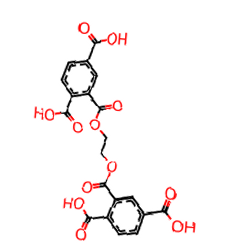 O=C(O)c1ccc(C(=O)O)c(C(=O)OCCOC(=O)c2cc(C(=O)O)ccc2C(=O)O)c1